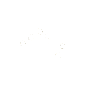 O=C(NNC(=O)c1ccc(Cl)c(-c2ccc(-c3ccccc3)cc2)c1)OCC1c2ccccc2-c2ccccc21